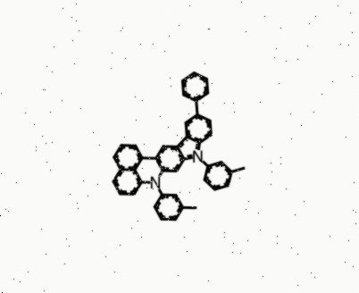 Cc1cccc(N2c3cc4c(cc3-c3cccc5cccc2c35)c2cc(-c3ccccc3)ccc2n4-c2cccc(C)c2)c1